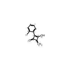 C=C1C(=O)C(c2ccccc2I)=C1O